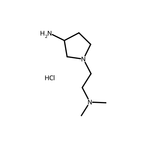 CN(C)CCN1CCC(N)C1.Cl